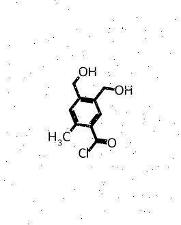 Cc1cc(CO)c(CO)cc1C(=O)Cl